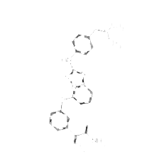 C=C(C(N)=O)c1cccc(Oc2cccc3nc(Nc4ccc(CN(C)C)cc4)nn23)c1